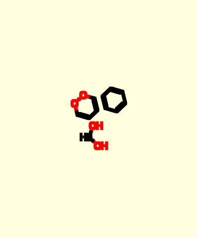 C1=COOC=C1.OBO.c1ccccc1